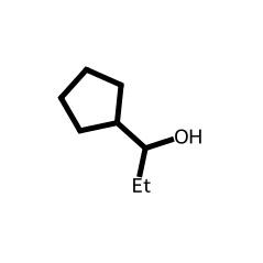 CCC(O)C1CCCC1